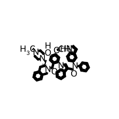 COc1cc(-n2cc(C(=O)N(c3ccccc3)c3ccc4[nH]ccc4c3)c3ccccc32)c(C(=O)N2Cc3ccccc3C[C@H]2CN2CCN(C)CC2)cc1O